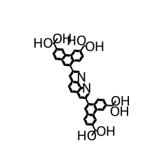 OC(O)c1ccc2cc(-c3cnc4c(ccc5cc(-c6cc7ccc(C(O)O)cc7c7cc(C(O)O)ccc67)cnc54)c3)c3ccc(C(O)O)cc3c2c1